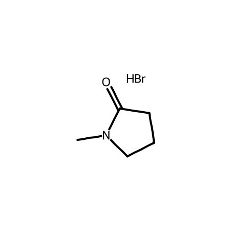 Br.CN1CCCC1=O